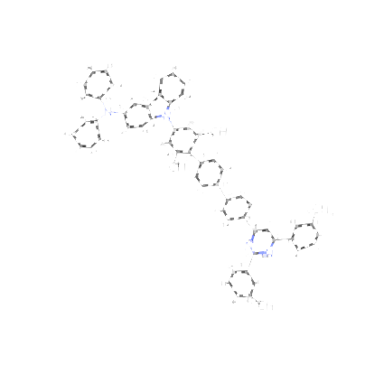 Cc1cccc(-c2cc(-c3ccc(-c4ccc(-c5c(C)cc(-n6c7ccccc7c7cc(N(c8ccccc8)c8ccccc8)ccc76)cc5C)cc4)cc3)nc(-c3cccc(C)c3)n2)c1